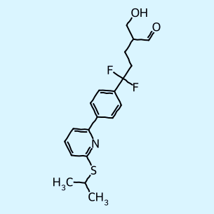 CC(C)Sc1cccc(-c2ccc(C(F)(F)CCC(C=O)CO)cc2)n1